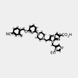 CCn1cncc1Cn1c(CN2CCN(c3cccc(OCc4ccc(C#N)cc4F)n3)CC2)cn2cc(C(=O)O)nc12